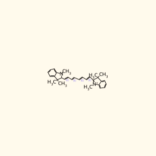 CN1c2ccccc2C(C)(C)C1/C=C/C=C/C=C/C=C/C1=[N+](C)c2ccccc2C1(C)C